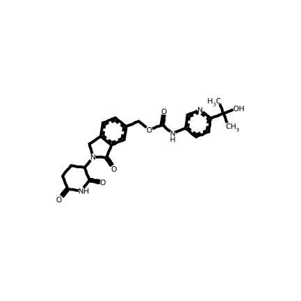 CC(C)(O)c1ccc(NC(=O)OCc2ccc3c(c2)C(=O)N(C2CCC(=O)NC2=O)C3)cn1